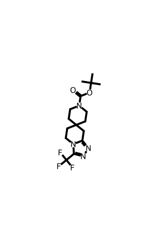 CC(C)(C)OC(=O)N1CCC2(CC1)CCn1c(nnc1C(F)(F)F)C2